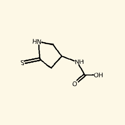 O=C(O)NC1CNC(=S)C1